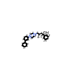 CCC(C)(CCCN1CCN(c2cccc(-c3ccccc3)c2)CC1)c1ccccc1